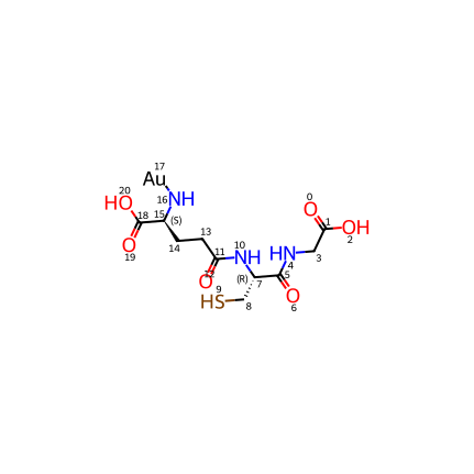 O=C(O)CNC(=O)[C@H](CS)NC(=O)CC[C@H]([NH][Au])C(=O)O